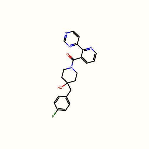 O=C(c1cccnc1-c1ccncn1)N1CCC(O)(Cc2ccc(F)cc2)CC1